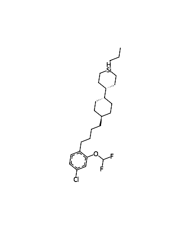 CCC[Si@H]1CC[C@H]([C@H]2CC[C@H](CCCCc3ccc(Cl)cc3OC(F)F)CC2)CC1